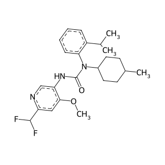 COc1cc(C(F)F)ncc1NC(=O)N(c1ccccc1C(C)C)C1CCC(C)CC1